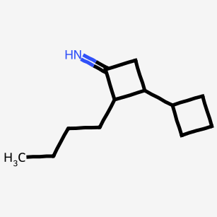 CCCCC1C(=N)CC1C1CCC1